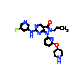 C=CCn1c(=O)c2cnc(Nc3cncc(F)c3)nc2n1-c1cccc(OC2CCNCC2)n1